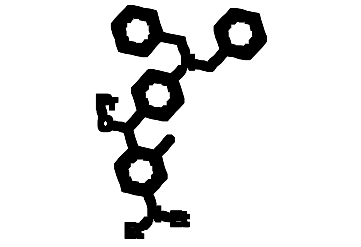 CCN(CC)c1ccc(C(OC(C)C)c2ccc(N(Cc3ccccc3)Cc3ccccc3)cc2)c(C)c1